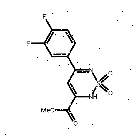 COC(=O)C1=CC(c2ccc(F)c(F)c2)=NS(=O)(=O)N1